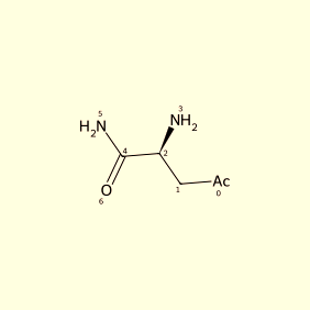 CC(=O)C[C@H](N)C(N)=O